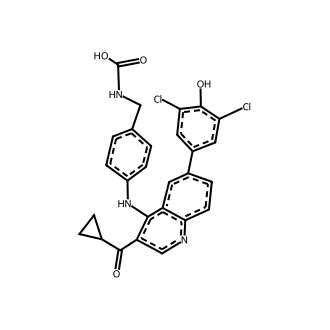 O=C(O)NCc1ccc(Nc2c(C(=O)C3CC3)cnc3ccc(-c4cc(Cl)c(O)c(Cl)c4)cc23)cc1